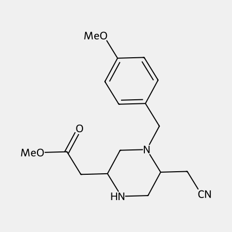 COC(=O)CC1CN(Cc2ccc(OC)cc2)C(CC#N)CN1